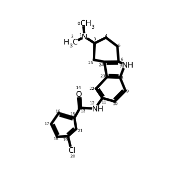 CN(C)C1CCc2[nH]c3ccc(NC(=O)c4cccc(Cl)c4)cc3c2C1